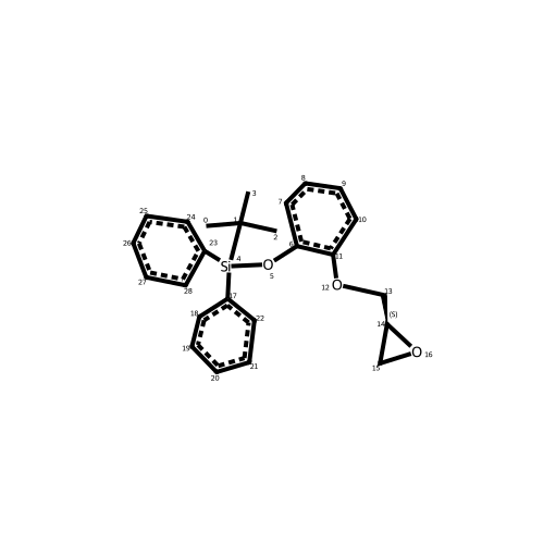 CC(C)(C)[Si](Oc1ccccc1OC[C@@H]1CO1)(c1ccccc1)c1ccccc1